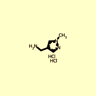 Cl.Cl.Cn1cc(CN)cn1